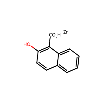 O=C(O)c1c(O)ccc2ccccc12.[Zn]